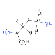 CCC(N)(CC)CC(C)(CC)C(N)C(=O)O